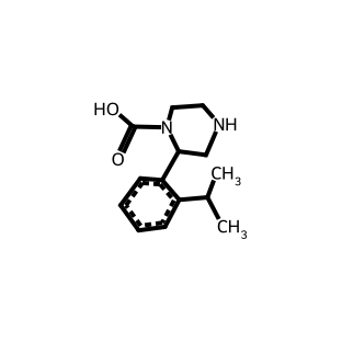 CC(C)c1ccccc1C1CNCCN1C(=O)O